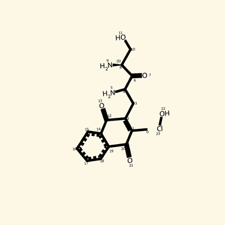 CC1=C(CC(N)C(=O)[C@@H](N)CO)C(=O)c2ccccc2C1=O.OCl